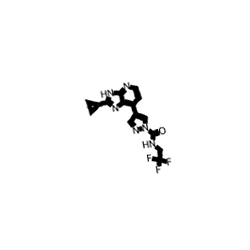 O=C(NCC(F)(F)F)n1cc(-c2ccnc3[nH]c(C4CC4)nc23)cn1